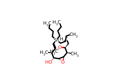 CCC[CH2][Sn](/[CH]=C/[C@H](C)[C@@H](O)[C@H]1O[C@@H]1[C@H](C)[C@H](CC)OC)([CH2]CCC)[CH2]CCC